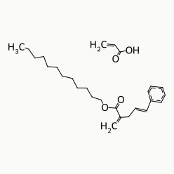 C=C(CC=Cc1ccccc1)C(=O)OCCCCCCCCCCCC.C=CC(=O)O